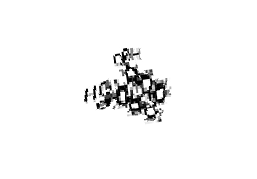 O=C(O)c1ccnc(-c2cc(C(=O)O)ccn2)c1.c1ccc(-c2ccccn2)nc1.c1ccc(-c2ccccn2)nc1